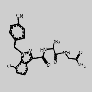 CC(C)(C)C(NC(=O)c1nn(Cc2ccc(C#N)cc2)c2c(Cl)cccc12)C(=O)NCC(N)=O